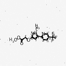 COC(=O)COc1cc(-c2ccc(C(F)(F)F)cn2)n(C)n1